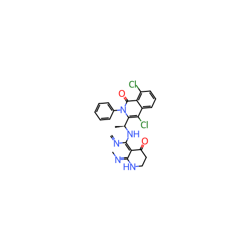 C=N/C(N[C@@H](C)c1c(Cl)c2cccc(Cl)c2c(=O)n1-c1ccccc1)=C1/C(=O)CCN/C1=N/C